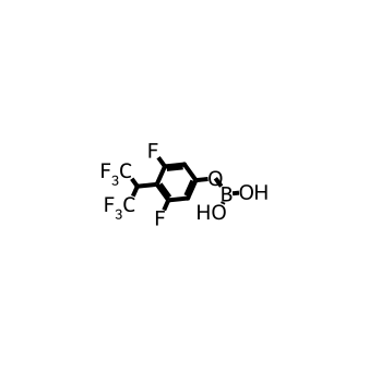 OB(O)Oc1cc(F)c(C(C(F)(F)F)C(F)(F)F)c(F)c1